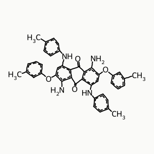 Cc1ccc(Nc2cc(Oc3cccc(C)c3)c(N)c3c2C(=O)c2c(N)c(Oc4cccc(C)c4)cc(Nc4ccc(C)cc4)c2C3=O)cc1